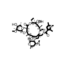 CC[C@H]1OC(=O)[C@H](C)[C@@H](O[C@H]2C[C@@](C)(OC)[C@@H](O)[C@H](C)O2)[C@H](C)[C@@H](O[C@@H]2O[C@H](C)C[C@H](N(C)C)[C@H]2OCCCNC(=O)c2cc(C)n(C)c2C)[C@](C)(O)C[C@@H](C)CN(C)[C@H](C)[C@@H](O)[C@]1(C)O